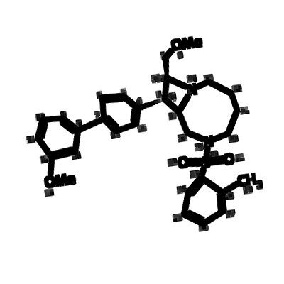 COC[C@@H]1[C@@H](c2ccc(-c3cccc(OC)c3)cc2)C2CN(S(=O)(=O)c3ccccc3C)CCCCN21